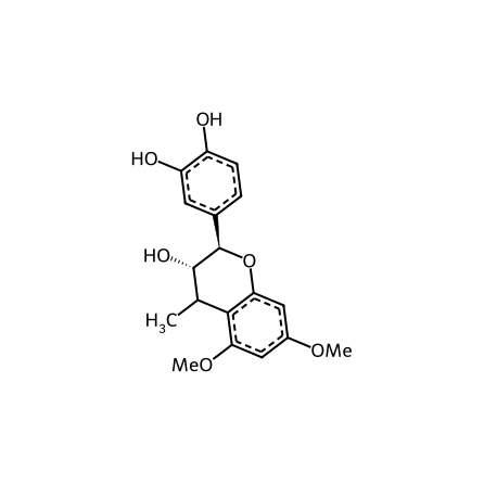 COc1cc(OC)c2c(c1)O[C@H](c1ccc(O)c(O)c1)[C@@H](O)C2C